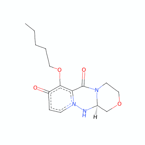 CCCCCOc1c2n(ccc1=O)N[C@@H]1COCCN1C2=O